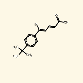 CC(C)(C)c1ccc(C(Br)=CC=CC(=O)O)cc1